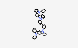 C1=CCC(N2C3CC4=C(C=C3C3C=CC=CC32)N(C2C=CC=C(C3=CC=CC(N5c6ccccc6C6c7c(c8ccccc8n7C7=CCCC=C7)C=CC65)C3)C2)C2CCC=CC42)C=C1